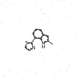 Cc1cc2cccc(-c3nccs3)c2[nH]1